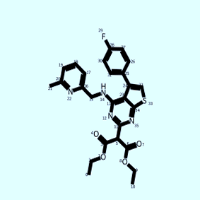 CCOC(=O)C(C(=O)OCC)c1nc(NCc2cccc(C)n2)c2c(-c3ccc(F)cc3)csc2n1